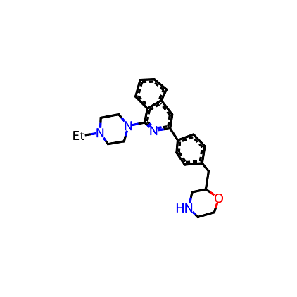 CCN1CCN(c2nc(-c3ccc(CC4CNCCO4)cc3)cc3ccccc23)CC1